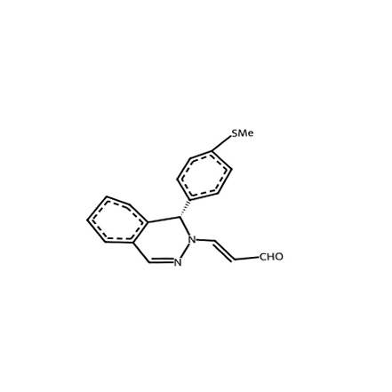 CSc1ccc([C@H]2c3ccccc3C=NN2C=CC=O)cc1